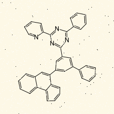 c1ccc(-c2cc(-c3nc(-c4ccccc4)nc(-c4ccccn4)n3)cc(-c3cc4ccccc4c4ccccc34)c2)cc1